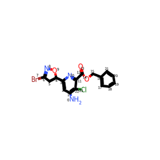 Nc1cc(C2CC(Br)=NO2)nc(C(=O)OCc2ccccc2)c1Cl